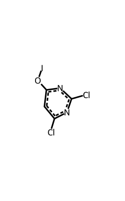 Clc1cc(OI)nc(Cl)n1